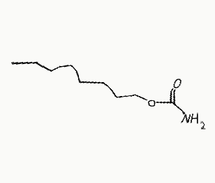 CCCCCCCCOC(N)=O